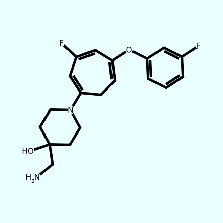 NCC1(O)CCN(C2=CC(F)=CC(Oc3cccc(F)c3)=CC2)CC1